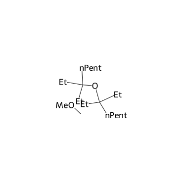 CCCCCC(CC)(CC)OC(CC)(CC)CCCCC.COC